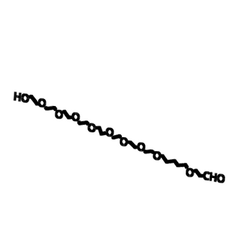 O=CCCOCCCCCOCCOCCOCCOCCOCCOCCOCCOCCO